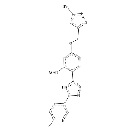 COc1cc(OCc2cc(C(C)C)no2)ccc1-c1cnc(-c2ccc(F)nc2)[nH]1